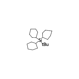 CC(C)(C)[Si](C1CCCCC1)(C1CCCCC1)C1CCCCC1